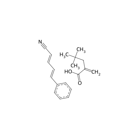 C=C(CC(C)(C)C)C(=O)O.N#CC=CC=Cc1ccccc1